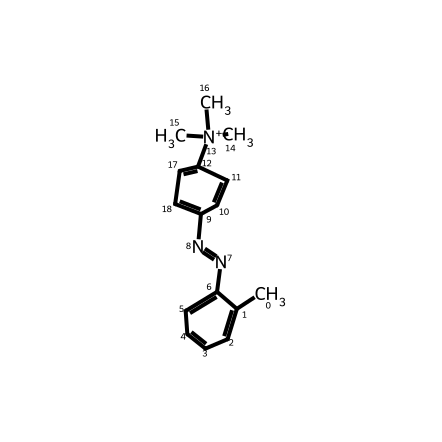 Cc1ccccc1N=Nc1ccc([N+](C)(C)C)cc1